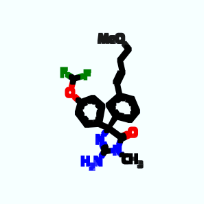 COCCC=Cc1cccc([C@]2(c3ccc(OC(F)F)cc3)N=C(N)N(C)C2=O)c1